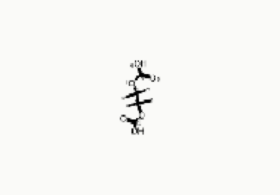 CC(C)(OC(=O)O)C(C)(C)OC(=O)O